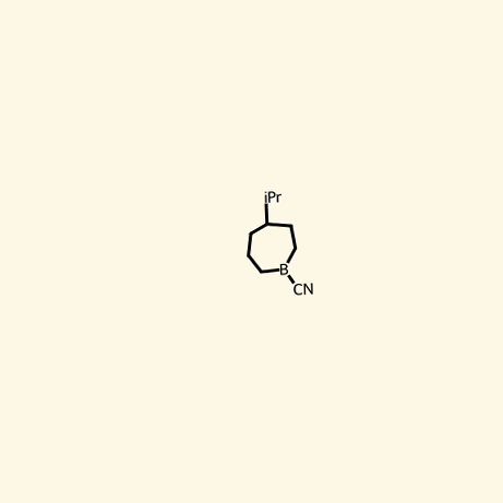 CC(C)C1CCCB(C#N)CC1